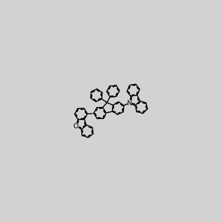 c1ccc(C2(c3ccccc3)c3cc(-c4cccc5oc6ccccc6c45)ccc3-c3ccc(-n4c5ccccc5c5ccccc54)cc32)cc1